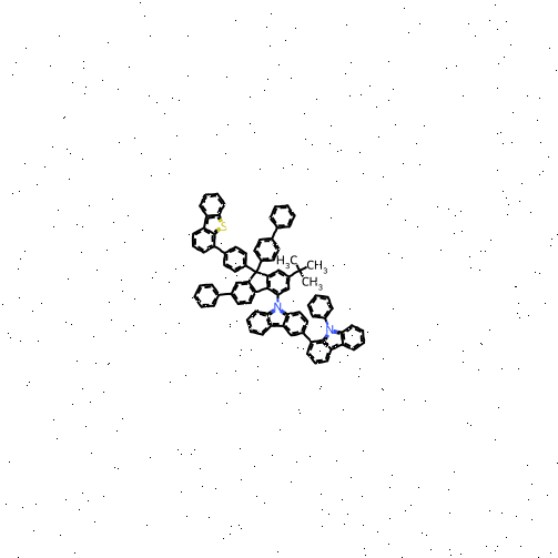 CC(C)(C)c1cc(-n2c3ccccc3c3cc(-c4cccc5c6ccccc6n(-c6ccccc6)c45)ccc32)c2c(c1)C(c1ccc(-c3ccccc3)cc1)(c1ccc(-c3cccc4c3sc3ccccc34)cc1)c1cc(-c3ccccc3)ccc1-2